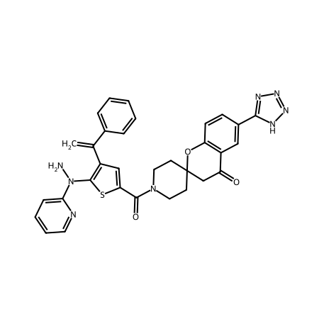 C=C(c1ccccc1)c1cc(C(=O)N2CCC3(CC2)CC(=O)c2cc(-c4nnn[nH]4)ccc2O3)sc1N(N)c1ccccn1